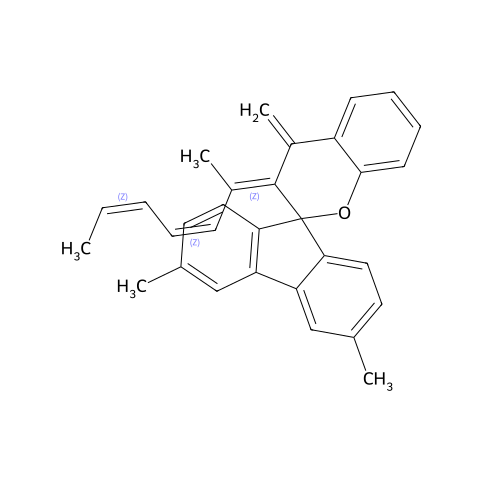 C=C1/C(=C(C)/C=C\C=C/C)C2(Oc3ccccc31)c1ccc(C)cc1-c1cc(C)ccc12